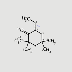 C/C=C1/CC(C)(C)CC(C)(C)C1=O